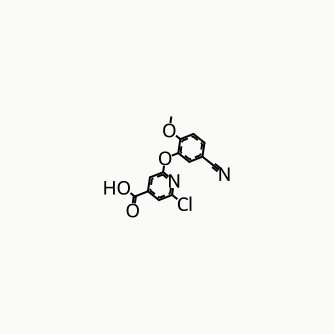 COc1ccc(C#N)cc1Oc1cc(C(=O)O)cc(Cl)n1